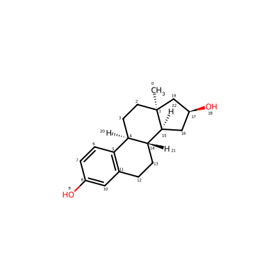 C[C@@]12CC[C@@H]3c4ccc(O)cc4CC[C@H]3[C@@H]1C[C@H](O)C2